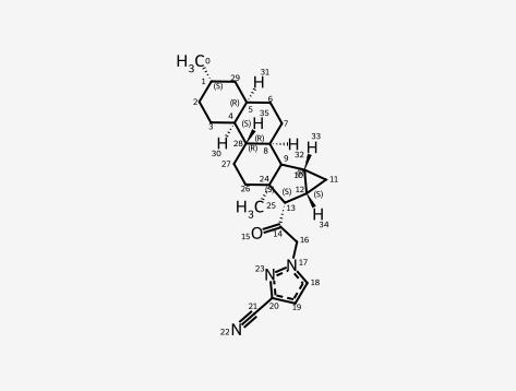 C[C@H]1CC[C@H]2[C@H](CC[C@H]3C4[C@@H]5C[C@@H]5[C@H](C(=O)Cn5ccc(C#N)n5)[C@@]4(C)CC[C@H]23)C1